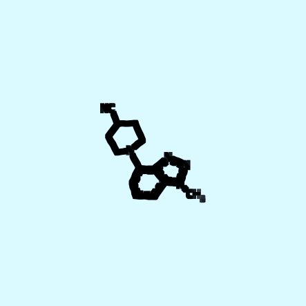 Cn1nnc2c(N3CCC(C#N)CC3)cccc21